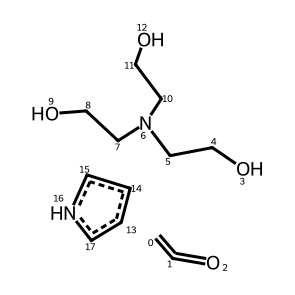 C=C=O.OCCN(CCO)CCO.c1cc[nH]c1